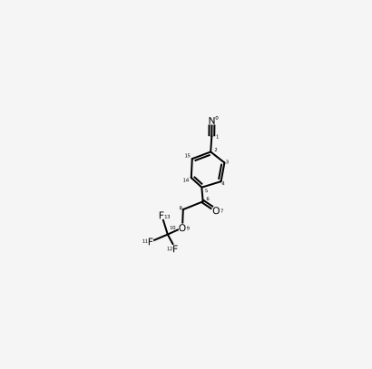 N#Cc1ccc(C(=O)COC(F)(F)F)cc1